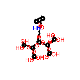 O=C(NCCCCOCc1cc(OCc2cc(OCc3cc(O)cc(O)c3)cc(OCc3cc(O)cc(O)c3)c2)cc(OCc2cc(OCc3cc(O)cc(O)c3)cc(OCc3cc(O)cc(O)c3)c2)c1)OCc1c2ccccc2cc2ccccc12